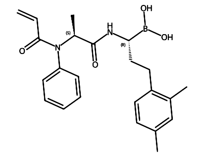 C=CC(=O)N(c1ccccc1)[C@@H](C)C(=O)N[C@@H](CCc1ccc(C)cc1C)B(O)O